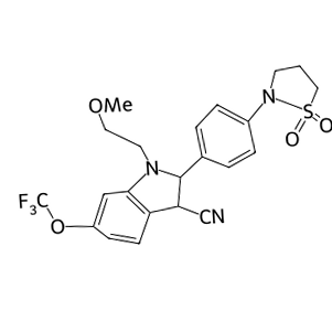 COCCN1c2cc(OC(F)(F)F)ccc2C(C#N)C1c1ccc(N2CCCS2(=O)=O)cc1